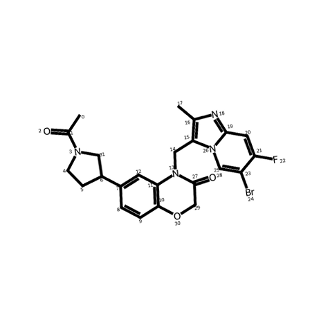 CC(=O)N1CCC(c2ccc3c(c2)N(Cc2c(C)nc4cc(F)c(Br)cn24)C(=O)CO3)C1